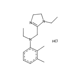 CCN1CCN=C1CN(CC)c1cccc(C)c1C.Cl